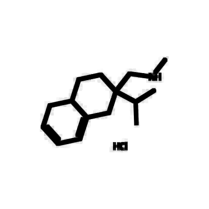 CNCC1(C(C)C)CCC2CC=CC=C2C1.Cl